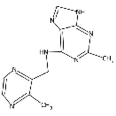 Cc1nc(NCc2nccnc2C)c2nc[nH]c2n1